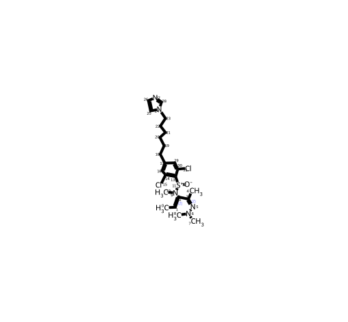 C/C=C(/C(C)=N\N(C)C)N(C)[S+]([O-])c1c(Cl)cc(CCCCCCn2ccnc2)cc1Cl